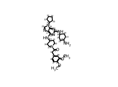 COc1ccc(CC(=O)N2CCC(Nc3nc(NC4CCC(N)CC4)nc4c3ncn4C3CCCC3)CC2)cc1OC